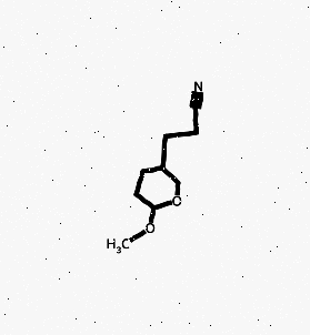 COC1CCC(CCC#N)CO1